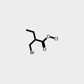 CCC(CBr)C(=O)OCl